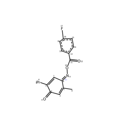 CC1=CC(=O)C(C(C)C)=C/C1=N\OC(=O)c1ccc(F)cc1